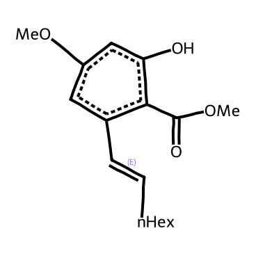 CCCCCC/C=C/c1cc(OC)cc(O)c1C(=O)OC